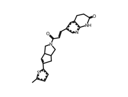 Cc1ccc(C2=CC3CN(C(=O)/C=C/c4cnc5c(c4)CCC(=O)N5)CC3C2)s1